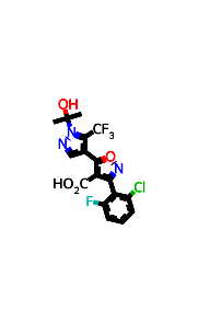 CC(C)(O)n1ncc(-c2onc(-c3c(F)cccc3Cl)c2C(=O)O)c1C(F)(F)F